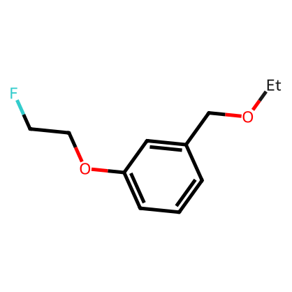 CCOCc1cccc(OCCF)c1